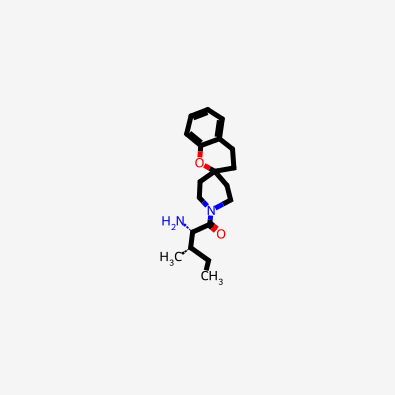 CC[C@H](C)[C@H](N)C(=O)N1CCC2(CCc3ccccc3O2)CC1